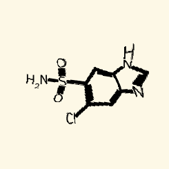 NS(=O)(=O)c1cc2[nH]cnc2cc1Cl